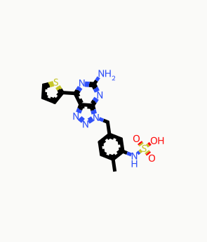 Cc1ccc(Cn2nnc3c(-c4cccs4)nc(N)nc32)cc1NS(=O)(=O)O